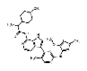 COc1nn(C)cc1Nc1ncc(C)c(-c2c[nH]c3c(NC(=O)N(C)C4CCN(C)CC4)nccc23)n1